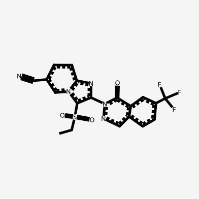 CCS(=O)(=O)c1c(-n2ncc3ccc(C(F)(F)F)cc3c2=O)nc2ccc(C#N)cn12